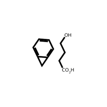 O=C(O)CCCO.c1ccc2c(c1)C2